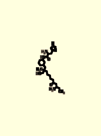 CCC(N)CC(=O)CCCCC[C@](C)(CO)CC1CCCC(NC(=O)C(N)Cc2c[nH]cn2)C1